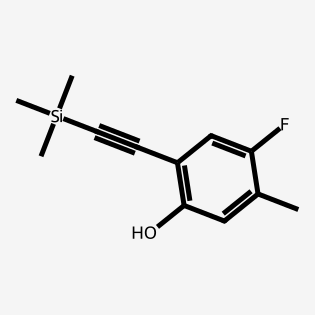 Cc1cc(O)c(C#C[Si](C)(C)C)cc1F